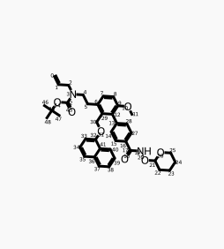 C=CCN(CCc1ccc(OC)c(-c2ccc(C(=O)NOC3CCCCO3)cc2)c1COc1cccc2ccccc12)C(=O)OC(C)(C)C